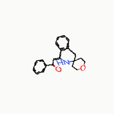 O=C(C=C1NC2(CCOCC2)Cc2ccccc21)c1ccccc1